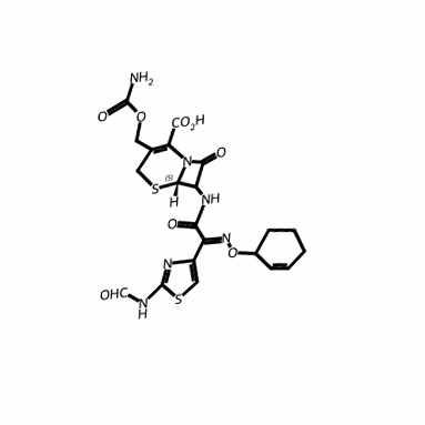 NC(=O)OCC1=C(C(=O)O)N2C(=O)C(NC(=O)C(=NOC3C=CCCC3)c3csc(NC=O)n3)[C@@H]2SC1